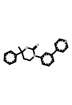 CC1(c2ccccc2)CCN(c2cccc(-c3ccncc3)c2)C(=O)O1